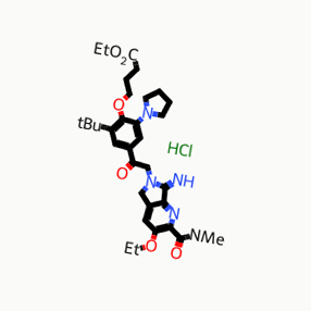 CCOC(=O)CCCOc1c(N2CCCC2)cc(C(=O)CN2Cc3cc(OCC)c(C(=O)NC)nc3C2=N)cc1C(C)(C)C.Cl